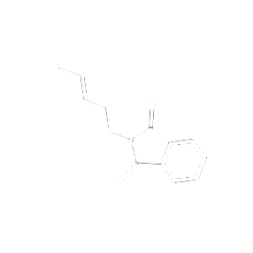 O=C1c2ccccc2C(=O)N1OCC=CCl